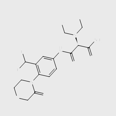 CC(C)CN(CC(F)(F)F)[C@@H](C(N)=O)C(=O)Nc1ccc(N2CCOCC2=O)c(C(F)F)c1